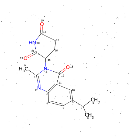 Cc1nc2ccc(C(C)C)cc2c(=O)n1C1CCC(=O)NC1=O